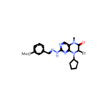 CCC1C(=O)N(C)c2cnc(NN=Cc3cccc(OC)c3)nc2N1C1CCCC1